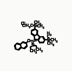 CC[Si](CC)=[Ti+2]([O]c1ccc2ccccc2c1)[CH]1c2ccc([Si](C)(C)C)cc2-c2cc([Si](C)(C)C)ccc21.[Cl-].[Cl-]